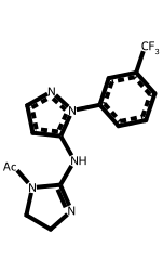 CC(=O)N1CCN=C1Nc1ccnn1-c1cccc(C(F)(F)F)c1